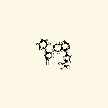 CS(=O)(=O)c1ccc(-c2ncnc3ccc(-c4c[nH]nc4-c4ccccn4)cc23)s1